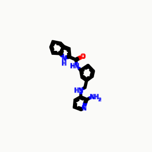 Nc1ncccc1NCc1cccc(NC(=O)c2cc3ccccc3[nH]2)c1